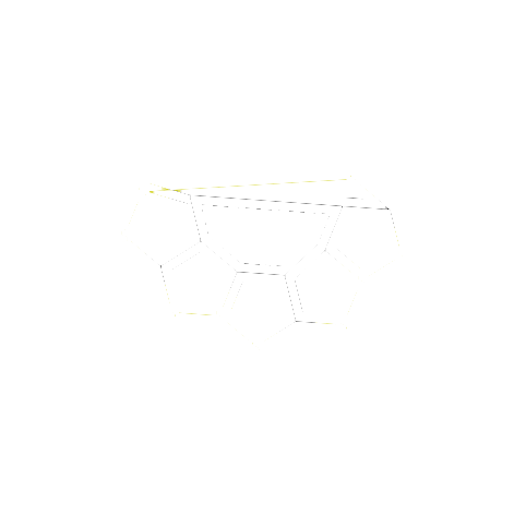 S1C2=c3c4c5c6c7c3=S(S2)SC=7SS=6SC=5SS=41